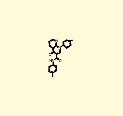 Cc1ccc(NC(=O)c2cn(-c3ccc(F)cc3)c3ncccc3c2=O)cc1